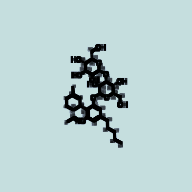 C=C(C)[C@@H]1CCC(C)=C[C@H]1c1c(O)cc(CCCCC)cc1O[C@@H]1O[C@H](CO)[C@@H](O)[C@H](O[C@@H]2O[C@H](CO)[C@@H](O)[C@H](O)[C@H]2O)[C@H]1O